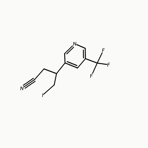 N#CCC(CI)c1cncc(C(F)(F)F)c1